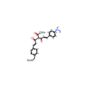 CNCc1ccc(/C=C/C(=O)C(C(=O)/C=C/c2ccc(N(C)C)cc2)C(=O)OC)cc1